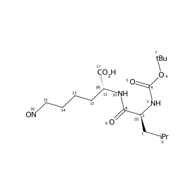 CC(C)C[C@H](NC(=O)OC(C)(C)C)C(=O)N[C@H](CCCCN=O)C(=O)O